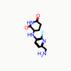 NCc1ccc(NC2CCC(=O)NC2=O)c(F)n1